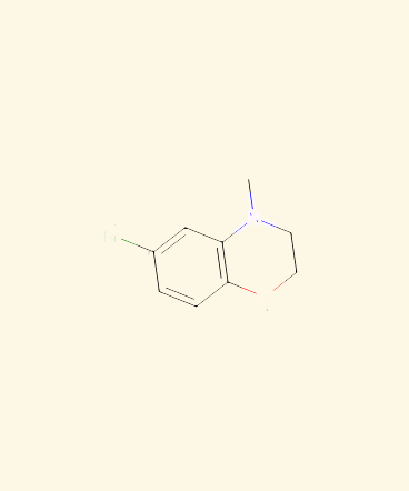 CN1CCOc2ccc(Br)cc21